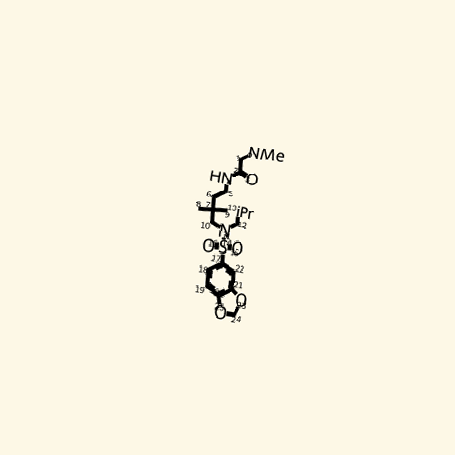 CNCC(=O)NCCC(C)(C)CN(CC(C)C)S(=O)(=O)c1ccc2c(c1)OCO2